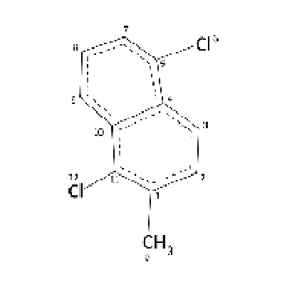 Cc1ccc2c(Cl)cccc2c1Cl